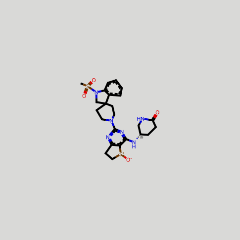 CS(=O)(=O)N1CC2(CCN(c3nc4c(c(N[C@H]5CCC(=O)NC5)n3)[S+]([O-])CC4)CC2)c2ccccc21